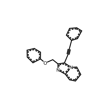 C(#Cc1c(COc2ccccc2)nc2ccccn12)c1ccccc1